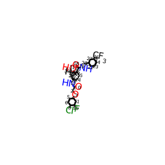 O=C(COc1ccc(Cl)c(F)c1)NC12CCC(C(=O)NCc3cccc(C(F)(F)F)c3)(CC1)[C@@H](O)C2